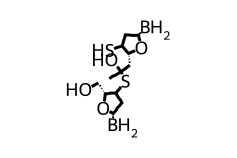 B[C@H]1CC(S)[C@@H](CC(C)(O)SC2C[C@H](B)O[C@@H]2CO)O1